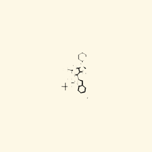 COc1ccc2c(c1)cc(-c1nc(Cl)nc3c1ncn3C1CCCCO1)n2C(=O)OC(C)(C)C